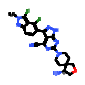 Cn1nc2ccc(-c3n[nH]c4nc(N5CCC6(CC5)COC[C@H]6N)nc(C#N)c34)c(Cl)c2c1Cl